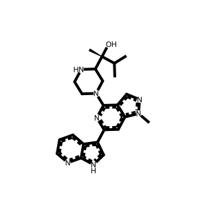 CC(C)[C@@](C)(O)C1CN(c2nc(-c3c[nH]c4ncccc34)cc3c2cnn3C)CCN1